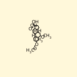 COCOC1CC[C@@]2(C)C(C1)C(OC)C[C@@H]1[C@H]2CC[C@@]2(C(=O)O)C(CO)CC[C@@H]12